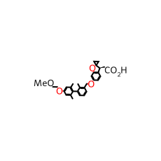 COCCOc1cc(C)c(-c2cccc(COc3ccc4c(c3)OC3(CC3)[C@H]4CC(=O)O)c2C)c(C)c1